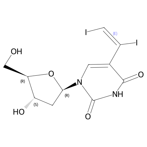 O=c1[nH]c(=O)n([C@H]2C[C@H](O)[C@@H](CO)O2)cc1/C(I)=C\I